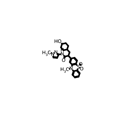 CN1c2ccccc2S(=O)(=O)c2ccc(C(CC3CCC(O)CC3)C(=O)Nc3ccn(C)n3)cc21